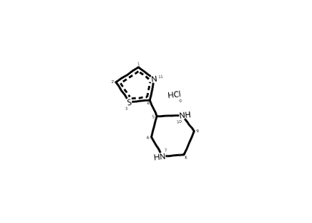 Cl.c1csc(C2CNCCN2)n1